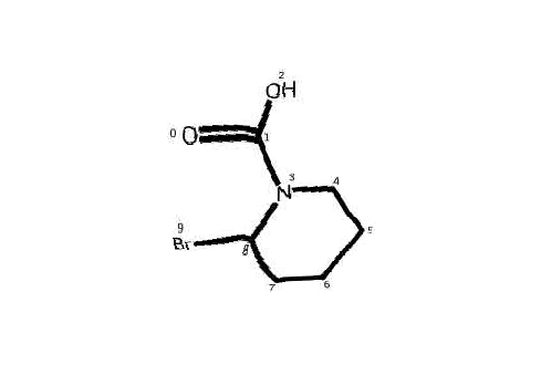 O=C(O)N1CCCCC1Br